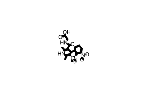 COC1=C(C)NC(C)=C(C(=O)NCC(=O)O)C1C1C=CC=C([N+](=O)[O-])C1=C=O